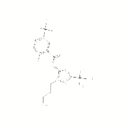 CCCCn1nc(C(C)(C)C)s/c1=N\C(=O)c1cc(C(F)(F)F)ccc1F